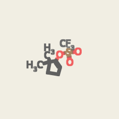 CC1(C)CCC=C1OS(=O)(=O)C(F)(F)F